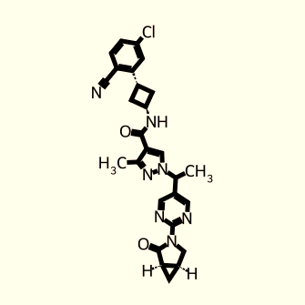 Cc1nn(C(C)c2cnc(N3C[C@H]4C[C@H]4C3=O)nc2)cc1C(=O)N[C@H]1C[C@@H](c2cc(Cl)ccc2C#N)C1